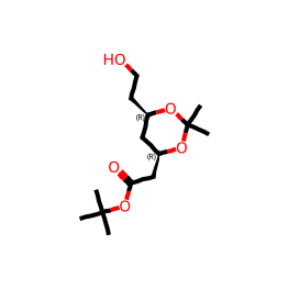 CC(C)(C)OC(=O)C[C@H]1C[C@@H](CCO)OC(C)(C)O1